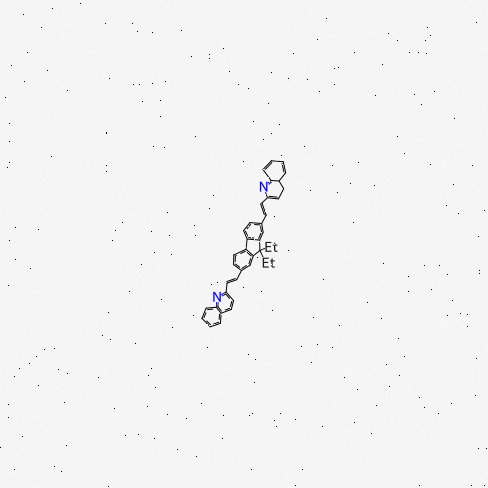 CCC1(CC)c2cc(/C=C/C3=CCC4C=CC=CC4=N3)ccc2-c2ccc(/C=C/c3ccc4ccccc4n3)cc21